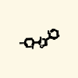 Cc1ccc(-c2nc(-c3ccccn3)co2)nc1